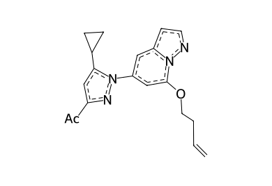 C=CCCOc1cc(-n2nc(C(C)=O)cc2C2CC2)cc2ccnn12